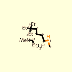 CCC(CC)(CC)CCCCPC.CNCC(=O)O